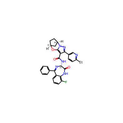 CCc1ccc(-c2nn3c(c2C(=O)N[C@H]2N=C(c4ccccc4)c4cccc(F)c4NC2=O)O[C@H]2CC[C@@H]3C2)cn1